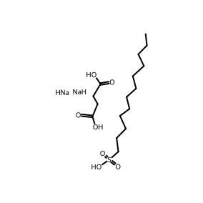 CCCCCCCCCCCCS(=O)(=O)O.O=C(O)CCC(=O)O.[NaH].[NaH]